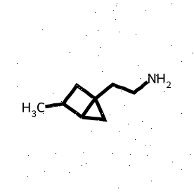 CC1CC2(CCN)CC12